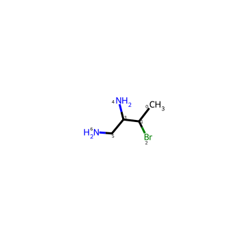 CC(Br)C(N)CN